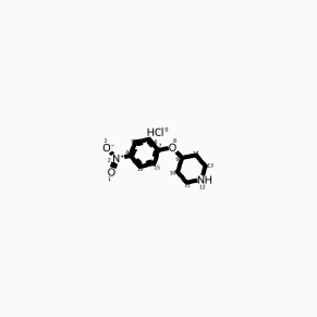 Cl.O=[N+]([O-])c1ccc(OC2CCNCC2)cc1